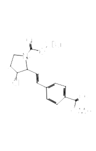 COC(=O)c1ccc(C=CC2C(Cl)CCN2C(=O)OC(C)(C)C)cc1